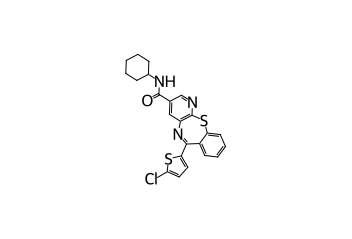 O=C(NC1CCCCC1)c1cnc2c(c1)N=C(c1ccc(Cl)s1)c1ccccc1S2